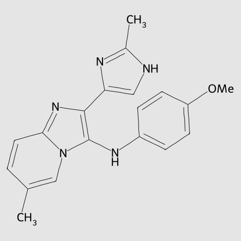 COc1ccc(Nc2c(-c3c[nH]c(C)n3)nc3ccc(C)cn23)cc1